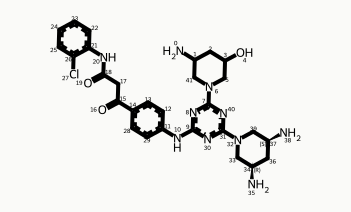 NC1CC(O)CN(c2nc(Nc3ccc(C(=O)CC(=O)Nc4ccccc4Cl)cc3)nc(N3C[C@H](N)C[C@H](N)C3)n2)C1